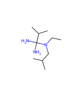 CCN(CC(C)C)C(N)(N)C(C)C